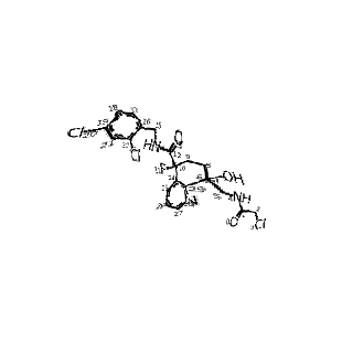 O=C(CCl)NC[C@@]1(O)CC[C@@](F)(C(=O)NCc2ccc(Cl)cc2Cl)c2cccnc21